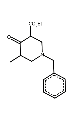 CCOC(=O)C1CN(Cc2ccccc2)CC(C)C1=O